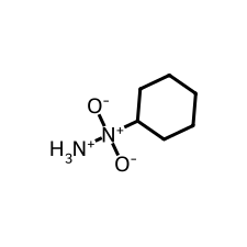 [NH3+][N+]([O-])([O-])C1CCCCC1